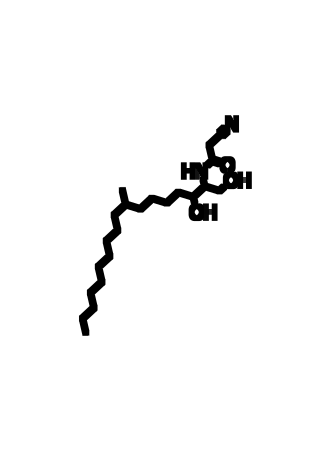 CCCCCCCCCCC(C)CCCCC(O)C(CO)NC(=O)CC#N